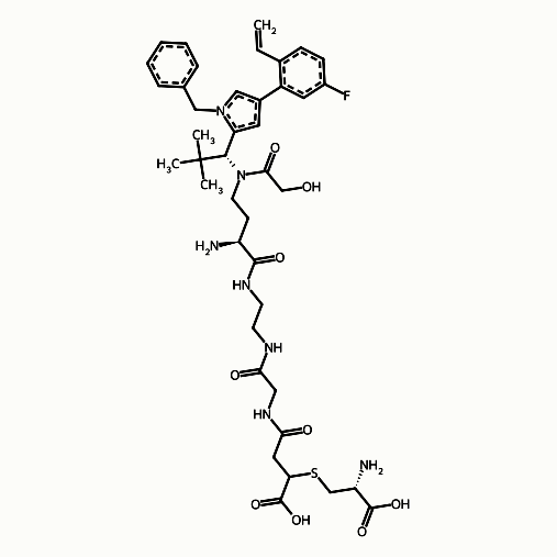 C=Cc1ccc(F)cc1-c1cc([C@H](N(CC[C@H](N)C(=O)NCCNC(=O)CNC(=O)CC(SC[C@H](N)C(=O)O)C(=O)O)C(=O)CO)C(C)(C)C)n(Cc2ccccc2)c1